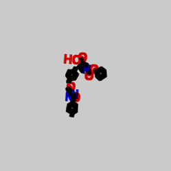 Cc1ccc(-c2nc(COCc3ccc(C[C@@H]4CN(C(=O)Oc5ccccc5)C[C@@H]4C(=O)O)cc3)no2)cc1